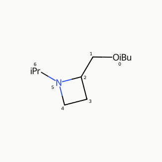 CC(C)COCC1CCN1C(C)C